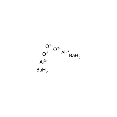 [Al+3].[Al+3].[BaH2].[BaH2].[O-2].[O-2].[O-2]